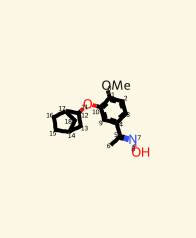 COc1ccc(C(C)=NO)cc1OC1CC2CCC1C2